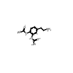 CC(C)C(=O)Oc1ccc(CCN)cc1OC(=O)C(C)C